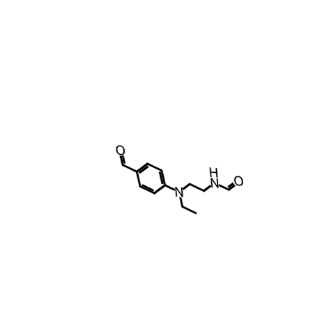 CCN(CCNC=O)c1ccc(C=O)cc1